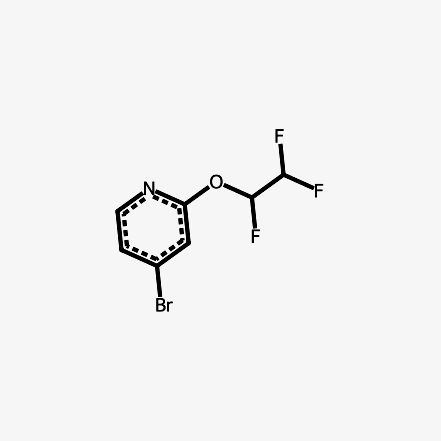 FC(F)C(F)Oc1cc(Br)ccn1